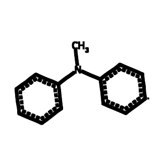 CN(c1cc[c]cc1)c1ccccc1